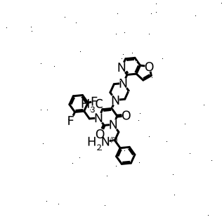 Cc1c(N2CCN(c3nccc4occc34)CC2)c(=O)n(C[C@H](N)c2ccccc2)c(=O)n1Cc1c(F)cccc1F